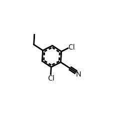 CCc1cc(Cl)c(C#N)c(Cl)c1